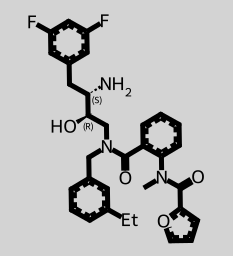 CCc1cccc(CN(C[C@@H](O)[C@@H](N)Cc2cc(F)cc(F)c2)C(=O)c2ccccc2N(C)C(=O)c2ccco2)c1